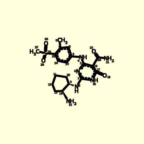 Cc1cc(Nc2nc(N[C@H]3CCCC[C@@H]3N)[nH]c(=O)c2C(N)=O)ccc1S(C)(=O)=O